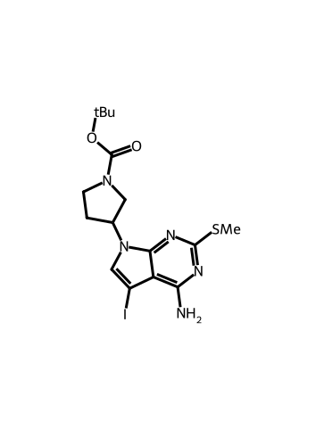 CSc1nc(N)c2c(I)cn(C3CCN(C(=O)OC(C)(C)C)C3)c2n1